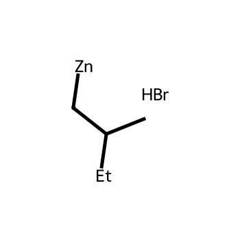 Br.CCC(C)[CH2][Zn]